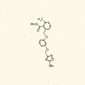 COC(=O)c1c(C)cccc1COc1cccc(OCc2noc(C(C)(C)C)n2)c1